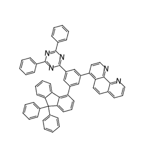 c1ccc(-c2nc(-c3ccccc3)nc(-c3cc(-c4cccc5c4-c4ccccc4C5(c4ccccc4)c4ccccc4)cc(-c4ccnc5c4ccc4cccnc45)c3)n2)cc1